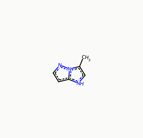 Cc1c[nH]c2ccnn12